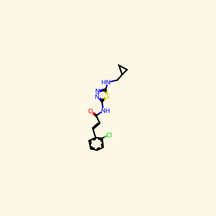 O=C(C=Cc1ccccc1Cl)Nc1nnc(NCC2CC2)s1